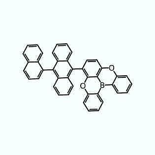 c1ccc2c(c1)Oc1ccc(-c3c4ccccc4c(-c4cccc5ccccc45)c4ccccc34)c3c1B2c1ccccc1O3